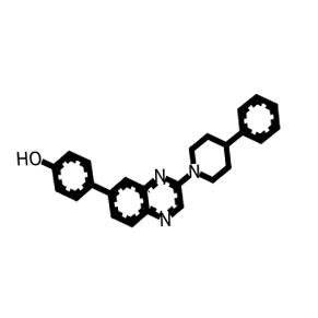 Oc1ccc(-c2ccc3ncc(N4CCC(c5ccccc5)CC4)nc3c2)cc1